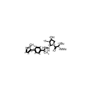 CN[C@H](C(=O)N1C[C@H](O)[C@H](F)[C@H]1NN[C@@H](C)c1ccc(-c2ccnn2C)cc1)C(C)(C)C